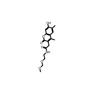 COCOCCNC(=O)Cc1c(C)c2cc(C)c(O)cc2oc1=O